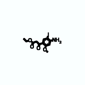 CCOC(=O)CC(=O)c1cc(I)c(N)cc1OC